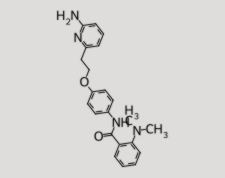 CN(C)c1ccccc1C(=O)Nc1ccc(OCCc2cccc(N)n2)cc1